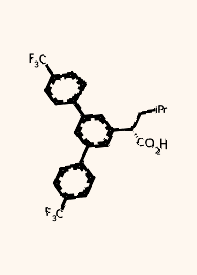 CC(C)C[C@H](C(=O)O)c1cc(-c2ccc(C(F)(F)F)cc2)cc(-c2ccc(C(F)(F)F)cc2)c1